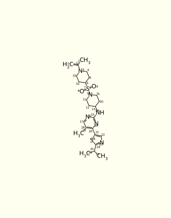 C=C(C)N1CCC(S(=O)(=O)N2CCC(Nc3ncc(C)c(-c4cnc(C(C)C)s4)n3)CC2)CC1